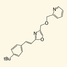 CC(C)(C)c1ccc(C=Cc2nc(COCc3ccccn3)co2)cc1